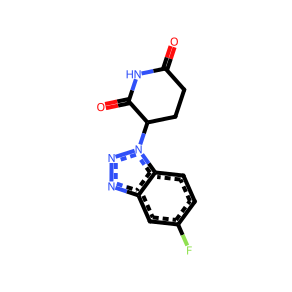 O=C1CCC(n2nnc3cc(F)ccc32)C(=O)N1